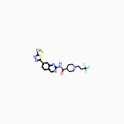 Cc1nnc(-c2ccc3cnc(NC(=O)C4CCN(CCC(F)(F)F)CC4)nc3c2)s1